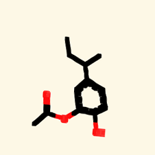 CCC(C)c1ccc(O)c(OC(C)=O)c1